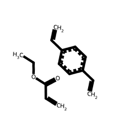 C=CC(=O)OCC.C=Cc1ccc(C=C)cc1